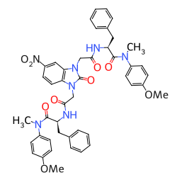 COc1ccc(N(C)C(=O)[C@H](Cc2ccccc2)NC(=O)Cn2c(=O)n(CC(=O)N[C@@H](Cc3ccccc3)C(=O)N(C)c3ccc(OC)cc3)c3cc([N+](=O)[O-])ccc32)cc1